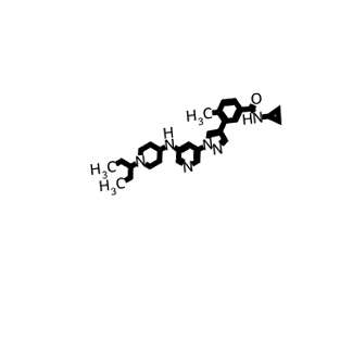 CCC(CC)N1CCC(Nc2cncc(-n3cc(-c4cc(C(=O)NC5CC5)ccc4C)cn3)c2)CC1